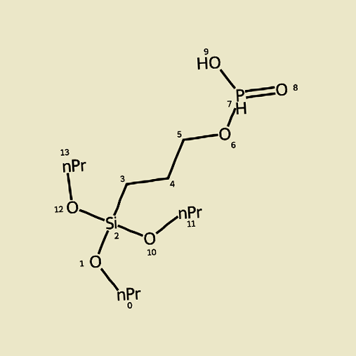 CCCO[Si](CCCO[PH](=O)O)(OCCC)OCCC